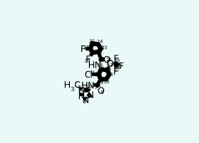 Cn1nnnc1NC(=O)c1ccc(OC(F)(F)F)c(NC(=O)c2cccc(F)c2F)c1Cl